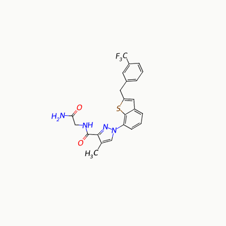 Cc1cn(-c2cccc3cc(Cc4cccc(C(F)(F)F)c4)sc23)nc1C(=O)NCC(N)=O